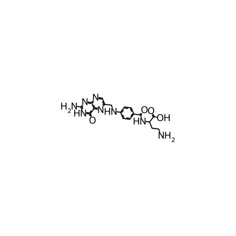 NCCC(NC(=O)c1ccc(NCc2cnc3nc(N)[nH]c(=O)c3n2)cc1)C(=O)O